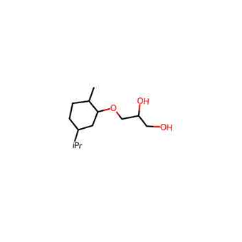 CC(C)C1CCC(C)C(OCC(O)CO)C1